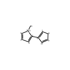 Cn1cccc1C1=[C]CC=C1